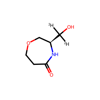 [2H]C([2H])(O)[C@@H]1COCCC(=O)N1